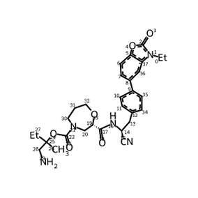 CCn1c(=O)oc2ccc(-c3ccc(C[C@@H](C#N)NC(=O)[C@@H]4CN(C(=O)OC(C)(CC)CN)CCCO4)cc3)cc21